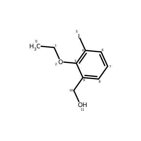 CCOc1c(I)cccc1[CH]O